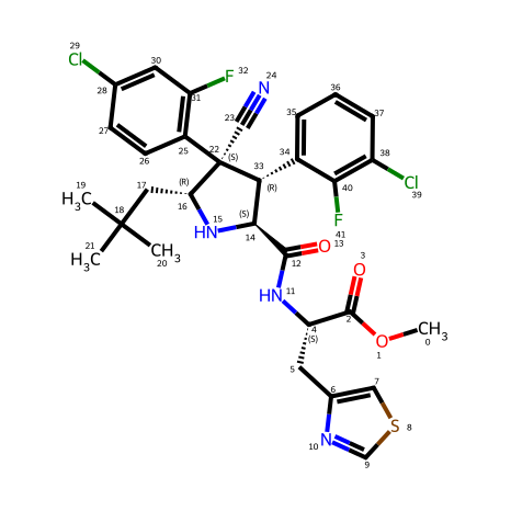 COC(=O)[C@H](Cc1cscn1)NC(=O)[C@H]1N[C@H](CC(C)(C)C)[C@@](C#N)(c2ccc(Cl)cc2F)[C@@H]1c1cccc(Cl)c1F